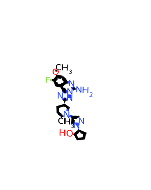 COc1cc2nc(N)n3nc([C@H]4CC[C@@H](C)N(c5cnn([C@@H]6CCC[C@H]6O)c5)C4)nc3c2cc1F